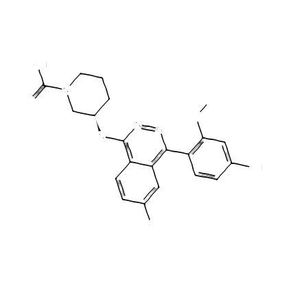 COc1cc(C)ccc1-c1nnc(N[C@@H]2CCCN(C(=O)O)C2)c2ccc(C)cc12